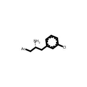 CC(=O)C[C@H](N)Cc1cccc(Cl)c1